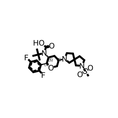 CC(C)(C)N(C(=O)O)[C@H]1C[C@@H](N2CCC3(CCN(S(C)(=O)=O)C3)C2)CO[C@H]1c1cc(F)ccc1F